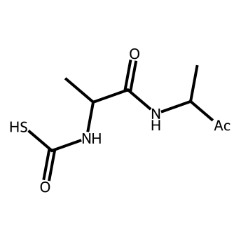 CC(=O)C(C)NC(=O)C(C)NC(=O)S